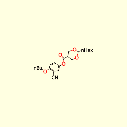 CCCCCCC1OCC(C(=O)Oc2ccc(OCCCC)c(C#N)c2)CO1